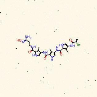 C=C(Br)C(=O)Nc1c[nH]c(C(=O)Nc2c[nH]c(C(=O)Nc3c[nH]c(C(=O)NCCC(N)=NO)c3C)c2C)c1C